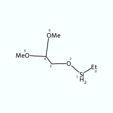 CC[SiH2]OCC(OC)OC